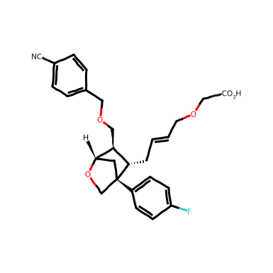 N#Cc1ccc(COC[C@@H]2[C@@H]3C[C@@](c4ccc(F)cc4)(CO3)[C@H]2C/C=C/COCC(=O)O)cc1